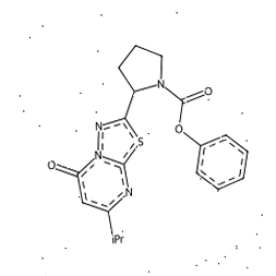 CC(C)c1cc(=O)n2nc(C3CCCN3C(=O)Oc3ccccc3)sc2n1